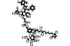 O=C(CCCCCN1C(=O)C=CC1=O)NCCC(=O)Nc1cc(COC(=O)NCCSCC(=O)C(C[C@@H]2CNC[C@@H]2F)[C@@H](c2nc(-c3cc(F)ccc3F)cn2Cc2ccccc2)C2CCOCC2)ccc1O[C@H]1O[C@@H](C(=O)O)[C@@H](O)[C@H](O)[C@H]1O